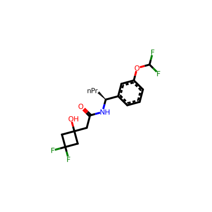 CCC[C@H](NC(=O)CC1(O)CC(F)(F)C1)c1cccc(OC(F)F)c1